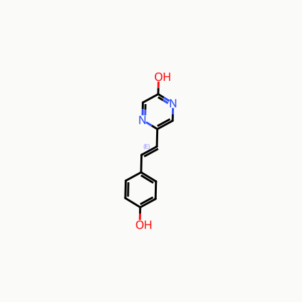 Oc1ccc(/C=C/c2cnc(O)cn2)cc1